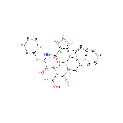 C[C@@H](O)[C@H](NC(=O)[C@H](CC1CCCCC1)NC(=O)c1ccno1)C(=O)N1CCC2(C=Cc3ccccc32)CC1